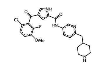 COc1ccc(Cl)c(C(=O)c2c[nH]c(C(=O)Nc3ccc(CC4CCNCC4)nc3)c2)c1F